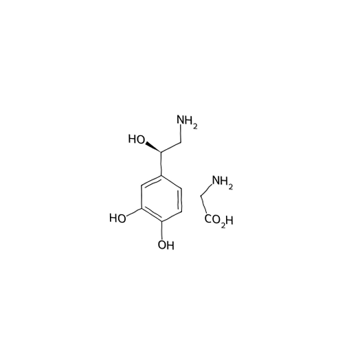 NCC(=O)O.NC[C@H](O)c1ccc(O)c(O)c1